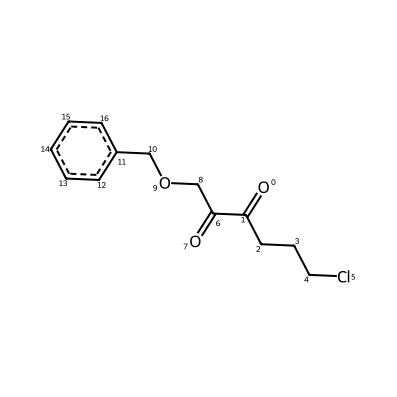 O=C(CCCCl)C(=O)COCc1ccccc1